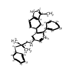 Cc1n[nH]c2ccc(-c3cc(NCC(C)(C)Sc4ccccc4)cnc3-c3ccccc3)cc12